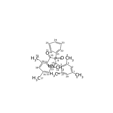 Cc1cc(C)c(C(=N)P(=O)(C(=O)c2c(C)cc(C)cc2C)c2ccccc2)c(C)c1